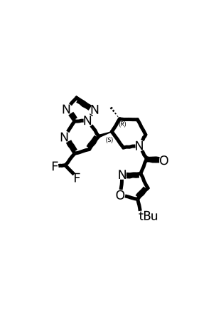 C[C@@H]1CCN(C(=O)c2cc(C(C)(C)C)on2)C[C@H]1c1cc(C(F)F)nc2ncnn12